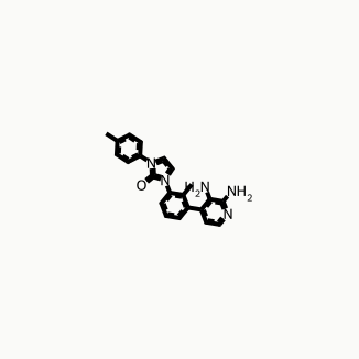 Cc1ccc(-n2ccn(-c3cccc(-c4ccnc(N)c4N)c3C)c2=O)cc1